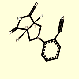 N#Cc1ccccc1N1C[C@@H]2C(=O)NC(=O)[C@@H]2C1